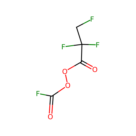 O=C(F)OOC(=O)C(F)(F)CF